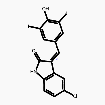 O=C1Nc2ccc(Cl)cc2/C1=C/c1cc(I)c(O)c(I)c1